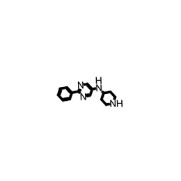 c1ccc(-c2ncc(NC3CCNCC3)cn2)cc1